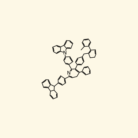 Cc1ccccc1C1=C(Cc2ccc(C3=C(c4ccccc4)CC=C(c4ccc(C5c6ccccc6C6C=CC=CC65)cc4)N=C3c3ccc(-n4c5ccccc5c5ccccc54)cc3)cc2)CCC=C1